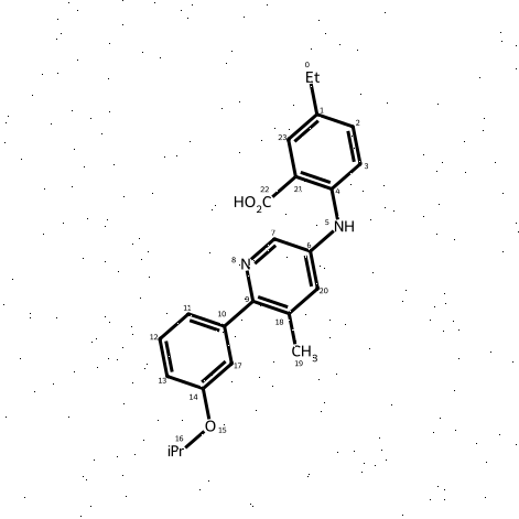 CCc1ccc(Nc2cnc(-c3cccc(OC(C)C)c3)c(C)c2)c(C(=O)O)c1